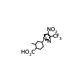 CC1CC(n2cc([N+](=O)[O-])c(C(F)(F)F)n2)CCC1C(=O)O